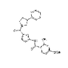 COc1ccc(C(=O)Nc2ccc(C(=O)N3CCC(c4ccccn4)C3)s2)c(C)c1